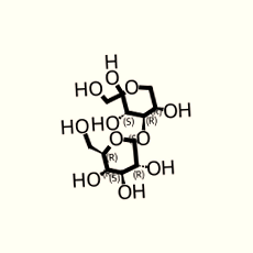 OC[C@H]1O[C@@H](O[C@@H]2[C@H](O)COC(O)(CO)[C@H]2O)[C@H](O)[C@@H](O)[C@H]1O